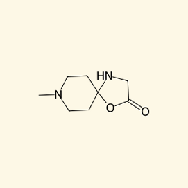 CN1CCC2(CC1)NCC(=O)O2